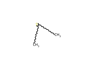 CCCCCCCCCCCCCc1cscc1CCCCCCCCCCCCC